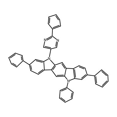 c1ccc(-c2ccc3c4cc5c(cc4n(-c4ccccc4)c3c2)c2ccc(-c3ccccc3)cc2n5-c2cnc(-c3ccccc3)nc2)cc1